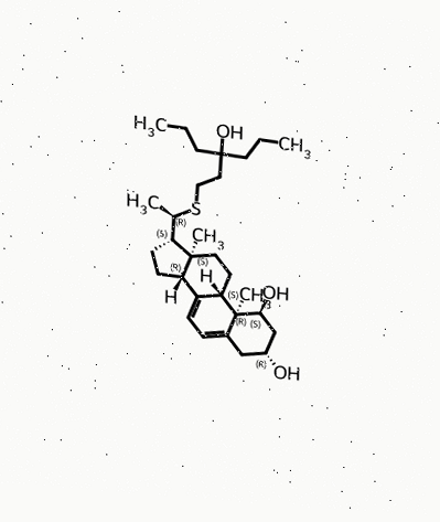 CCCC(O)(CCC)CCS[C@H](C)[C@H]1CC[C@H]2C3=CC=C4C[C@@H](O)C[C@H](O)[C@]4(C)[C@H]3CC[C@]12C